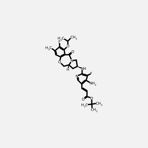 Cc1cc2c(c(OC(C)C)c1F)C(=O)N1C[C@@H](Nc3ncc(/C=C/C(=O)OC(C)(C)C)c(N)c3F)C[C@@H]1CO2